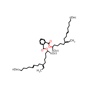 CC=C(CCC=CCCCCCCCCCCCCCC)CCCCC(CCCCCCCC)OC(=O)c1ccccc1C(=O)OC(CCCCCCCC)CCCCC(=CC)CCC=CCCCCCCCCCCCCCC